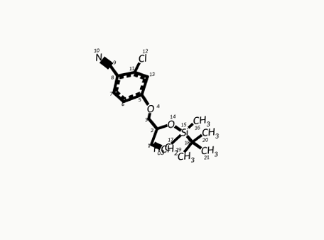 C=CC(COc1ccc(C#N)c(Cl)c1)O[Si](C)(C)C(C)(C)C